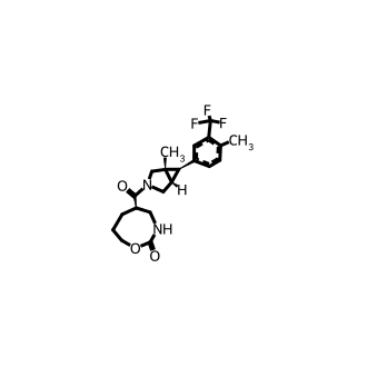 Cc1ccc([C@H]2[C@@H]3CN(C(=O)[C@@H]4CCCOC(=O)NC4)C[C@@]32C)cc1C(F)(F)F